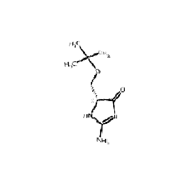 CC(C)(C)OC[C@H]1NC(N)=NC1=O